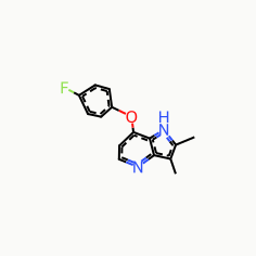 Cc1[nH]c2c(Oc3ccc(F)cc3)ccnc2c1C